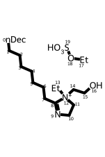 CCCCCCCCCCCCCCCCCC1=NCC[N+]1(CC)CCO.CCOS(=O)(=O)O